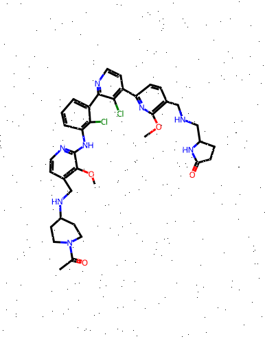 COc1nc(-c2ccnc(-c3cccc(Nc4nccc(CNC5CCN(C(C)=O)CC5)c4OC)c3Cl)c2Cl)ccc1CNCC1CCC(=O)N1